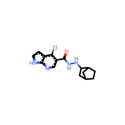 O=C(NNC1CC2CCC1C2)c1cnc2[nH]ccc2c1Cl